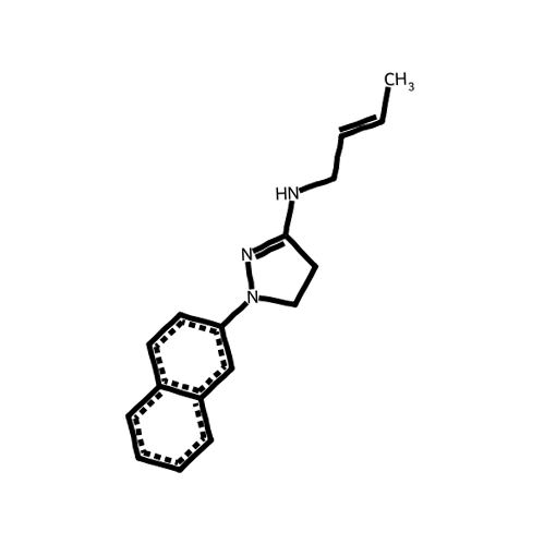 CC=CCNC1=NN(c2ccc3ccccc3c2)CC1